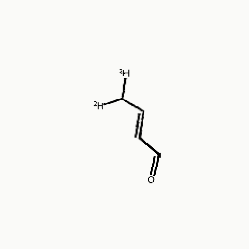 [2H]C([2H])C=CC=O